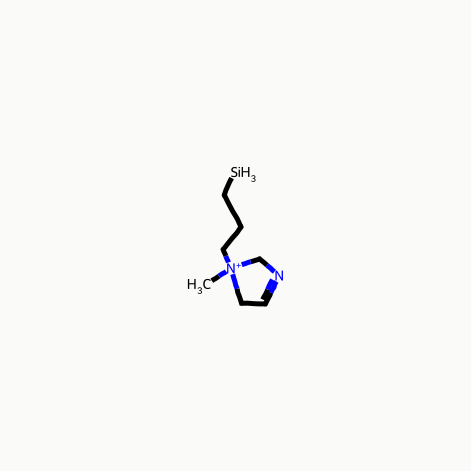 C[N+]1(CCC[SiH3])CC=NC1